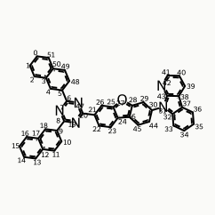 c1ccc2cc(-c3nc(-c4ccc5ccccc5c4)nc(-c4ccc5c(c4)oc4cc(-n6c7ccccc7c7cccnc76)ccc45)n3)ccc2c1